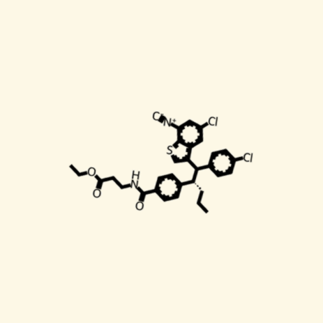 [C-]#[N+]c1cc(Cl)cc2c(C(c3ccc(Cl)cc3)[C@H](CCC)c3ccc(C(=O)NCCC(=O)OCC)cc3)csc12